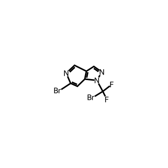 FC(F)(Br)n1ncc2cnc(Br)cc21